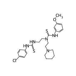 COc1cccc(NC(=S)N(CCNC(=S)Nc2ccc(Cl)cc2)CCN2CCCCC2)c1